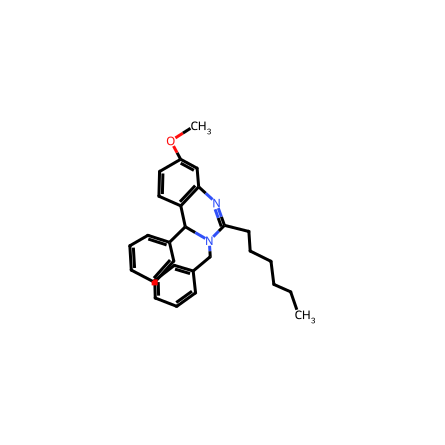 CCCCCCC1=Nc2cc(OC)ccc2C(c2ccccc2)N1Cc1ccccc1